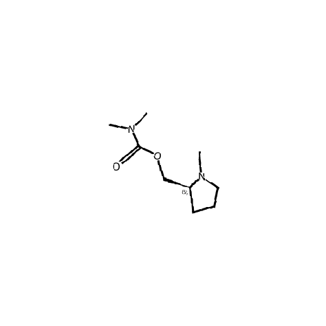 CN(C)C(=O)OC[C@@H]1CCCN1C